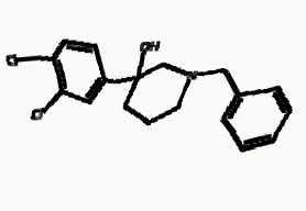 OC1(c2ccc(Cl)c(Cl)c2)CCCN(Cc2ccccc2)C1